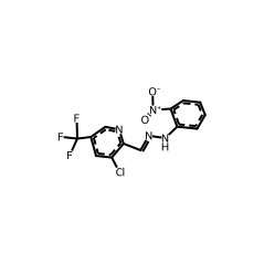 O=[N+]([O-])c1ccccc1NN=Cc1ncc(C(F)(F)F)cc1Cl